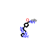 CCCNC(=O)c1ccc(-c2ncn3c2cnc2[nH]ccc23)cc1